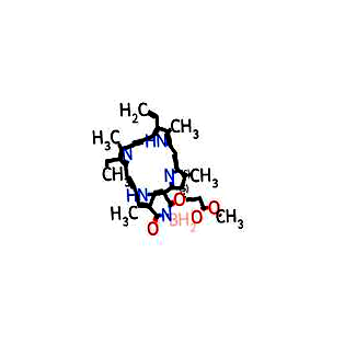 BN1C(=O)c2c3nc(cc4[nH]c(cc5nc(cc6[nH]c2c(c6C)C1=O)C(CC)=C5C)c(C=C)c4C)[C@@H](C)[C@@H]3CCC(=O)OC